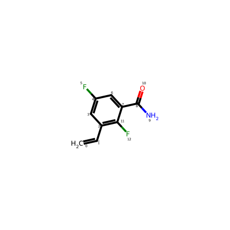 C=[C]c1cc(F)cc(C(N)=O)c1F